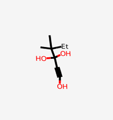 CCC(C)(C)C(O)(O)C#CO